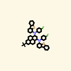 CC(C)(C)c1cc2ccc3c(N(c4ccc(F)cc4)c4cccc5c4sc4ccccc45)cc(N(c4ccc(F)cc4)c4cccc5c4sc4ccccc45)c4ccc(c1)c2c34